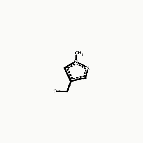 Cn1[c]c(CF)[c]n1